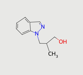 CC(CO)Cn1ncc2ccccc21